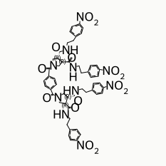 O=C(NCCc1ccc([N+](=O)[O-])cc1)[C@H]1CN(C(=O)c2ccc(C(=O)N3C[C@H](C(=O)NCCc4ccc([N+](=O)[O-])cc4)[C@@H](C(=O)NCCc4ccc([N+](=O)[O-])cc4)C3)cc2)C[C@@H]1C(=O)NCCc1ccc([N+](=O)[O-])cc1